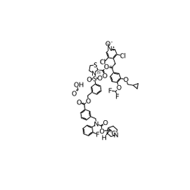 O=C(OCc1cccc(S(=O)(=O)N2CCS[C@H]2C(=O)O[C@@H](Cc2c(Cl)c[n+]([O-])cc2Cl)c2ccc(OC(F)F)c(OCC3CC3)c2)c1)c1cccc(CN(C(=O)O[C@H]2CN3CCC2CC3)c2ccccc2F)c1.O=CO